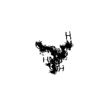 CCC[C@H](NC(=O)[C@@H]1C[C@@H](O/N=C/c2cc(C)c(OC)c(C)c2)CN1C(=O)[C@@H](NC(=O)[C@@H]1C[C@H]1c1c[nH]cn1)C(C)(C)C)C(=O)C(=O)NC1CC1